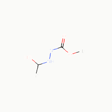 CC(C)C(O)NNC(=O)OC(C)(C)C